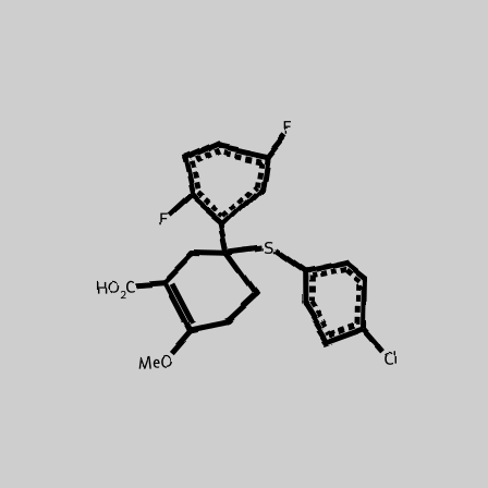 COC1=C(C(=O)O)CC(Sc2ccc(Cl)cc2)(c2cc(F)ccc2F)CC1